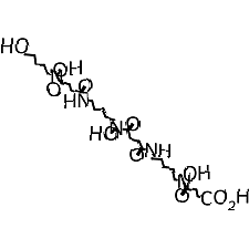 O=C(O)CCC(=O)N(O)CCCCCNC(=O)CCC(=O)N(O)CCCCCNC(=O)CCC(=O)N(O)CCCCCO